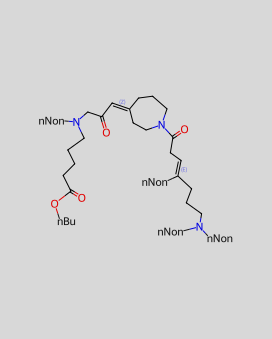 CCCCCCCCC/C(=C\CC(=O)N1CCC/C(=C/C(=O)CN(CCCCCCCCC)CCCCC(=O)OCCCC)CC1)CCCN(CCCCCCCCC)CCCCCCCCC